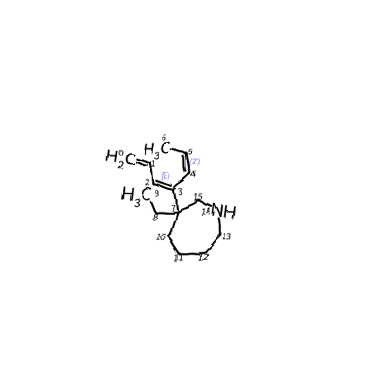 C=C/C=C(\C=C/C)C1(CC)CCCCNC1